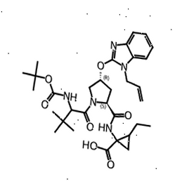 C=CCn1c(O[C@@H]2C[C@@H](C(=O)NC3(C(=O)O)CC3CC)N(C(=O)C(NC(=O)OC(C)(C)C)C(C)(C)C)C2)nc2ccccc21